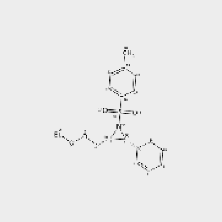 CCOOC[C@H]1[C@@H](C2C=CC=CC2)N1S(=O)(=O)c1ccc(C)cc1